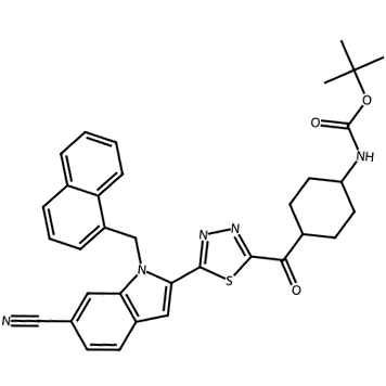 CC(C)(C)OC(=O)NC1CCC(C(=O)c2nnc(-c3cc4ccc(C#N)cc4n3Cc3cccc4ccccc34)s2)CC1